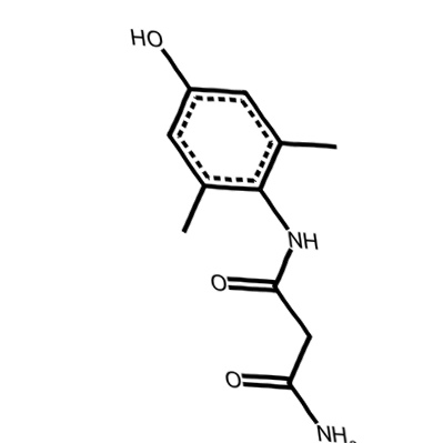 Cc1cc(O)cc(C)c1NC(=O)CC(N)=O